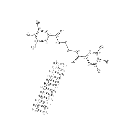 C=C.C=C.C=C.C=C.C=C.C=C.C=C.C=C.C=C.C=C.C=C.C=C.O=C(OCCOC(=O)c1cc(O)c(O)c(O)c1)c1cc(O)c(O)c(O)c1